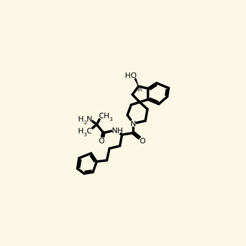 CC(C)(N)C(=O)NC(CCCc1ccccc1)C(=O)N1CCC2(CC1)C[C@@H](O)c1ccccc12